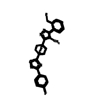 Cn1c(-c2ccccc2CF)nnc1C12CCC(c3nc(-c4ccc(F)cc4)no3)(CC1)CC2